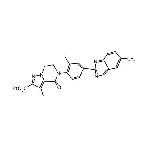 CCOC(=O)c1nn2c(c1C)C(=O)N(c1ccc(-c3ncc4cc(C(F)(F)F)ccc4n3)cc1C)CC2